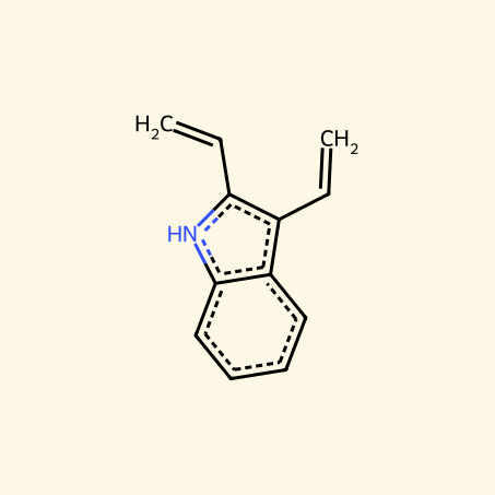 C=Cc1[nH]c2ccccc2c1C=C